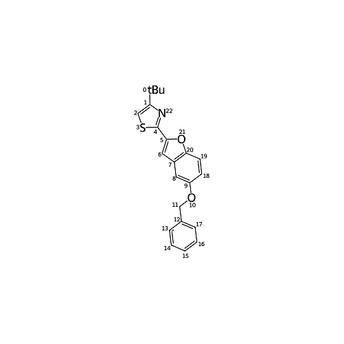 CC(C)(C)c1csc(-c2cc3cc(OCc4[c]cccc4)ccc3o2)n1